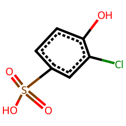 O=S(=O)(O)c1ccc(O)c(Cl)c1